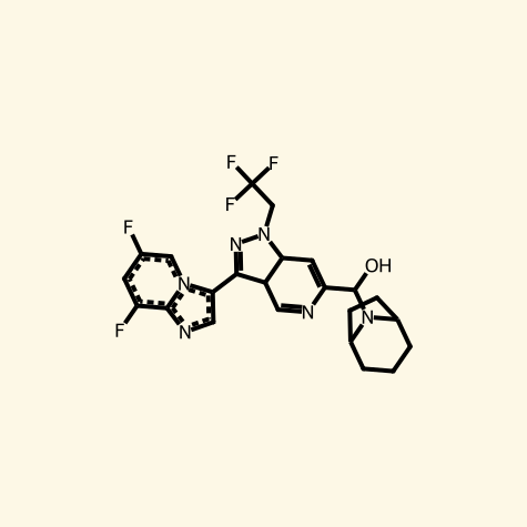 OC(C1=CC2C(C=N1)C(c1cnc3c(F)cc(F)cn13)=NN2CC(F)(F)F)N1C2CCCC1CC2